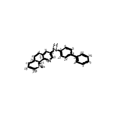 c1ccc(-c2ccc(Nc3cnc4c(ccc5cccnc54)c3)cc2)cc1